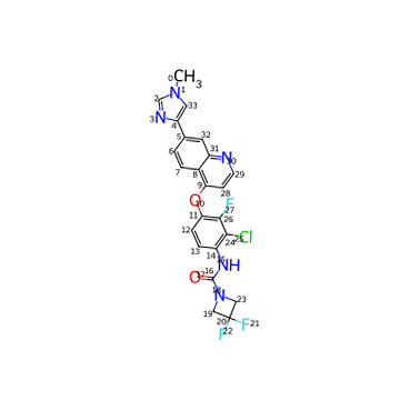 Cn1cnc(-c2ccc3c(Oc4ccc(NC(=O)N5CC(F)(F)C5)c(Cl)c4F)ccnc3c2)c1